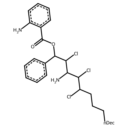 CCCCCCCCCCCCCC(Cl)C(Cl)C(N)C(Cl)C(OC(=O)c1ccccc1N)c1ccccc1